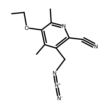 CCOc1c(C)nc(C#N)c(CN=[N+]=[N-])c1C